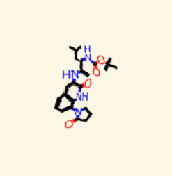 C=C(NC1Cc2cccc(N3CCCC3=O)c2NC1=O)[C@@H](CC(C)C)NC(=O)OC(C)(C)C